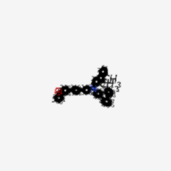 CC1(C)c2ccccc2-c2ccc(N(c3ccc(-c4ccc(-c5ccc6oc7ccccc7c6c5)cc4)cc3)c3ccc(-c4ccccc4-c4ccccc4)cc3)cc21